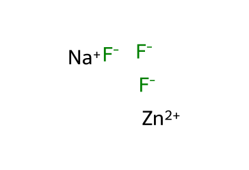 [F-].[F-].[F-].[Na+].[Zn+2]